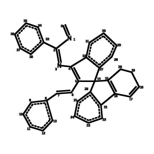 C=N/C(=N\C1=C(C=Cc2ccccc2)C2(C3=C(C=CCC3)c3ccccc32)c2ccccc21)c1ccccc1